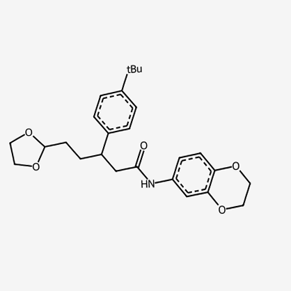 CC(C)(C)c1ccc(C(CCC2OCCO2)CC(=O)Nc2ccc3c(c2)OCCO3)cc1